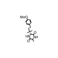 COc1ccc(CSC(C)(C)[C@H]2NC(=O)[C@H](C)NC2=O)cc1